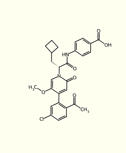 COc1cn([C@H](CC2CCC2)C(=O)Nc2ccc(C(=O)O)cc2)c(=O)cc1-c1cc(Cl)ccc1C(C)=O